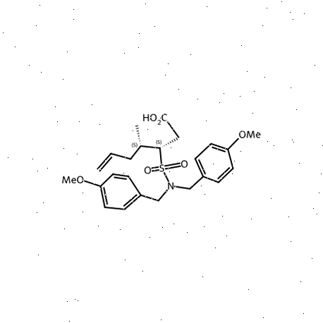 C=CC[C@H](C)[C@H](CC(=O)O)S(=O)(=O)N(Cc1ccc(OC)cc1)Cc1ccc(OC)cc1